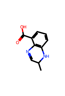 CC1C=Nc2c(cccc2C(=O)O)N1